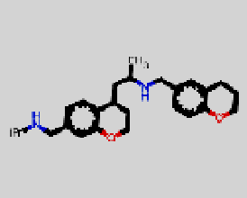 CC(C)NCc1ccc2c(c1)OCCC2CC(C)NCc1ccc2c(c1)CCCO2